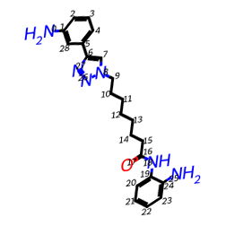 Nc1cccc(-c2cn(CCCCCCCC(=O)Nc3ccccc3N)nn2)c1